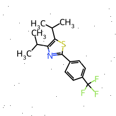 CC(C)c1nc(-c2ccc(C(F)(F)F)cc2)sc1C(C)C